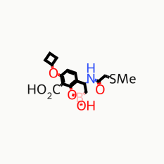 CSCC(=O)N[C@@H]1CB(O)Oc2c1ccc(OC1CCC1)c2C(=O)O